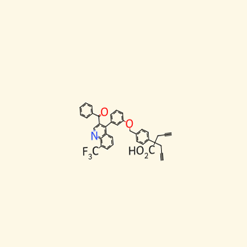 C#CCC(CC#C)(C(=O)O)c1ccc(COc2cccc(-c3c(C(=O)c4ccccc4)cnc4c(C(F)(F)F)cccc34)c2)cc1